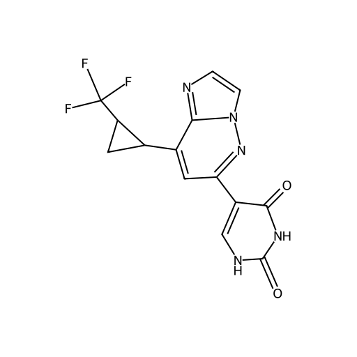 O=c1[nH]cc(-c2cc(C3CC3C(F)(F)F)c3nccn3n2)c(=O)[nH]1